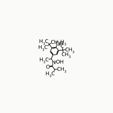 CC(C)C(=O)N(O)C(C)c1cc(C(C)(C)C)c(O)c(C(C)(C)C)c1